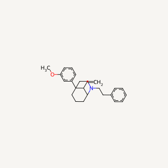 C=CC1C2CCCC1(c1cccc(OC)c1)CCN2CCc1ccccc1